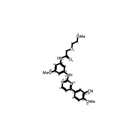 COCCOCC(=O)Nc1cc(Nc2nccc(-c3ccc(OC)c(C#N)c3)n2)cc(OC)c1